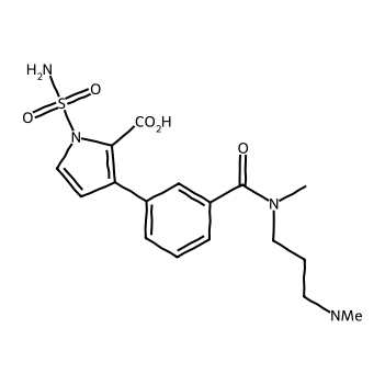 CNCCCN(C)C(=O)c1cccc(-c2ccn(S(N)(=O)=O)c2C(=O)O)c1